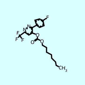 CCCCCCCCOC(=O)Oc1cc(C(F)(F)F)nnc1-c1ccc(F)cc1